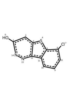 Oc1cc2sc3c(Cl)cccc3c2nn1